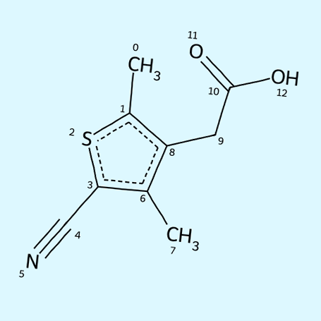 Cc1sc(C#N)c(C)c1CC(=O)O